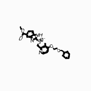 CCOC(=O)c1ccc2[nH]c([S+]([O-])Cc3nccc(OCCOCc4ccccc4)c3C)nc2c1